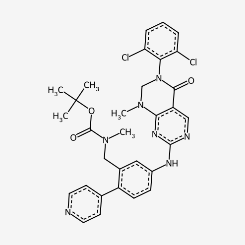 CN(Cc1cc(Nc2ncc3c(n2)N(C)CN(c2c(Cl)cccc2Cl)C3=O)ccc1-c1ccncc1)C(=O)OC(C)(C)C